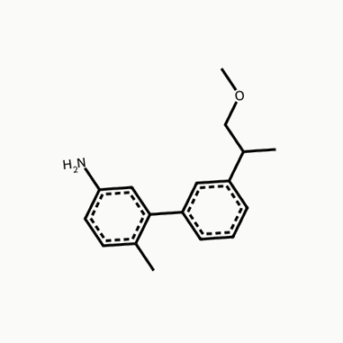 COCC(C)c1cccc(-c2cc(N)ccc2C)c1